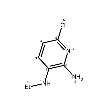 CCNc1ccc(Cl)nc1N